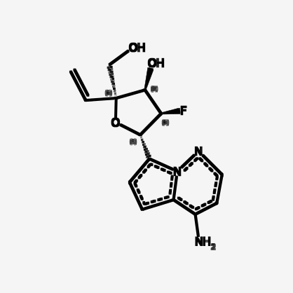 C=C[C@]1(CO)O[C@@H](c2ccc3c(N)ccnn23)[C@H](F)[C@@H]1O